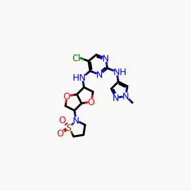 Cn1cc(Nc2ncc(Cl)c(NC3COC4C3OCC4N3CCCS3(=O)=O)n2)cn1